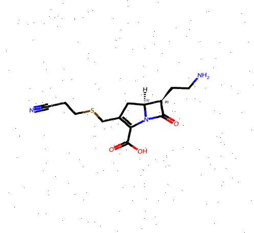 N#CCCSCC1=C(C(=O)O)N2C(=O)[C@H](CCN)[C@@H]2C1